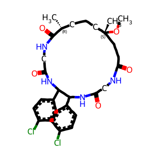 CO[C@@]1(C)CCC[C@@H](C)C(=O)NCC(=O)NC(c2ccc(Cl)cc2)C(c2ccc(Cl)cc2)NC(=O)CNC(=O)CC1